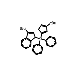 CC(C)(C)C1=CCC([Si](c2ccccc2)(c2ccccc2)C2C=C(C(C)(C)C)c3ccccc32)=C1